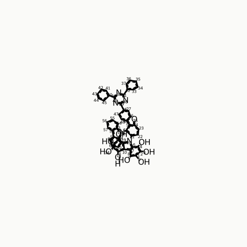 Oc1c(O)c(O)c2c(c1O)c1c(O)c(O)c(O)c(O)c1n2-c1ccc2oc3cc(-c4nc(-c5ccccc5)nc(-c5ccccc5)n4)ccc3c2c1-n1c2ccccc2c2ccccc21